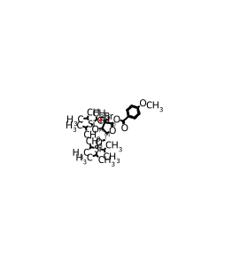 COc1ccc(C(=O)O[C@H]2O[C@H](CO[Si](C(C)C)(C(C)C)C(C)C)[C@@H](O[Si](C(C)C)(C(C)C)C(C)C)[C@]2(F)Br)cc1